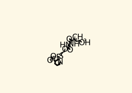 C[C@@H](CCO)C(=O)NNC(=O)OCCSSc1ncccc1[N+](=O)[O-]